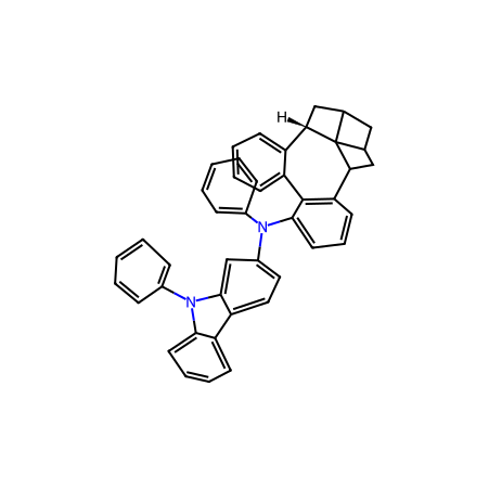 c1ccc(N(c2ccc3c4ccccc4n(-c4ccccc4)c3c2)c2cccc3c2-c2ccccc2[C@@H]2CC4CC5CC3C542)cc1